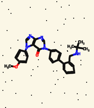 COc1ccc(-n2cnc3ncn(-c4ccc(-c5ccccc5CNC(C)(C)C)cc4)c(=O)c32)cc1